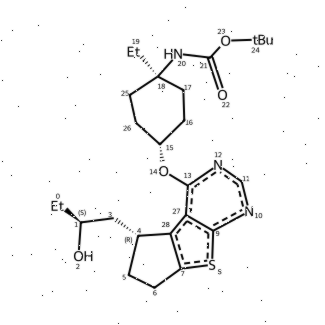 CC[C@H](O)C[C@H]1CCc2sc3ncnc(O[C@H]4CC[C@](CC)(NC(=O)OC(C)(C)C)CC4)c3c21